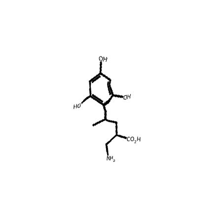 CC(CC(CN)C(=O)O)c1c(O)cc(O)cc1O